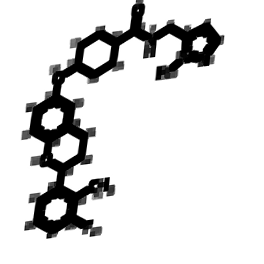 CCn1nccc1CNC(=O)C1CCC(Oc2ccc3c(c2)CCC(c2cccc(F)c2C)O3)CC1